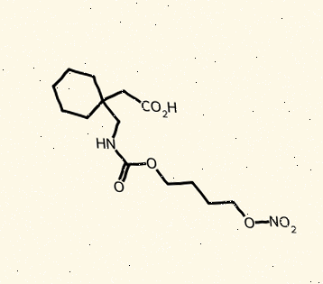 O=C(O)CC1(CNC(=O)OCCCCO[N+](=O)[O-])CCCCC1